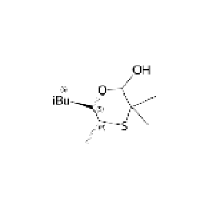 CC[C@H](C)[C@@H]1OC(O)C(C)(C)S[C@@H]1C